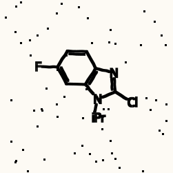 CC(C)n1c(Cl)nc2ccc(F)cc21